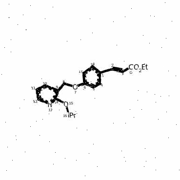 CCOC(=O)C=Cc1ccc(OCc2cccnc2OC(C)C)cc1